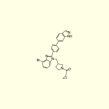 O=C(C1CC1)N1CCC(Cn2c(-c3ccc(-c4ccc5cn[nH]c5c4)cc3)nc3c(Br)cccc32)C1